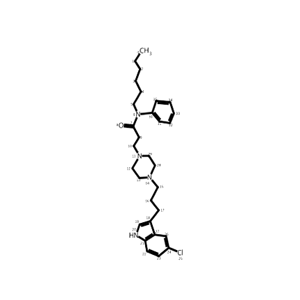 CCCCCCN(C(=O)CCN1CCN(CCCc2c[nH]c3ccc(Cl)cc23)CC1)c1ccccc1